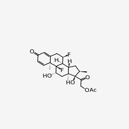 CC(=O)OCC(=O)[C@@]1(O)[C@H](C)C[C@H]2[C@@H]3[C@H](F)CC4=CC(=O)C=C[C@]4(C)[C@@]3(F)[C@@H](O)C[C@@]21C